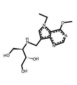 CCn1cc(CN[C@H](CO)[C@H](O)CO)c2ncnc(OC)c21